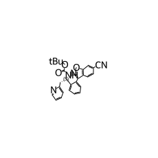 CC(C)(C)OC(=O)N[C@@H](Cc1ccccn1)c1ccccc1-c1noc2cc(C#N)ccc12